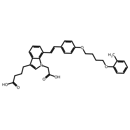 Cc1ccccc1OCCCCOc1ccc(C=Cc2cccc3c(CCCC(=O)O)cn(CC(=O)O)c23)cc1